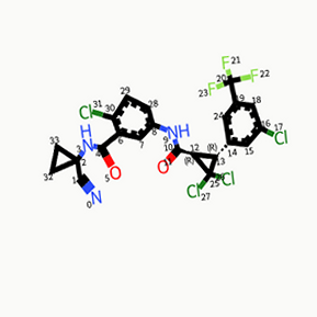 N#CC1(NC(=O)c2cc(NC(=O)[C@H]3[C@H](c4cc(Cl)cc(C(F)(F)F)c4)C3(Cl)Cl)ccc2Cl)CC1